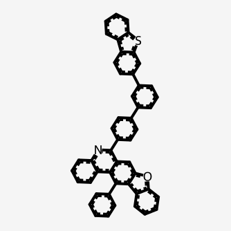 c1ccc(-c2c3c(cc4c(-c5ccc(-c6cccc(-c7ccc8c(c7)sc7ccccc78)c6)cc5)nc5ccccc5c24)oc2ccccc23)cc1